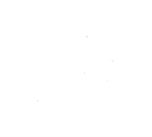 N#Cc1cccc(Cc2cnc3[nH]cc(C(N)=O)c3n2)c1